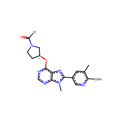 CCC(=O)N1CC[C@H](Oc2ncnc3c2nc(-c2cnc(OC)c(C)c2)n3C)C1